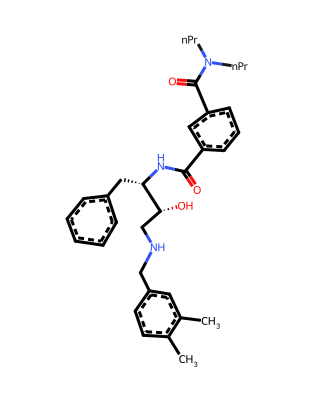 CCCN(CCC)C(=O)c1cccc(C(=O)N[C@@H](Cc2ccccc2)[C@H](O)CNCc2ccc(C)c(C)c2)c1